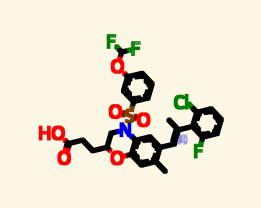 C/C(=C\c1cc2c(cc1C)OC(CCC(=O)O)CN2S(=O)(=O)c1cccc(OC(F)F)c1)c1c(F)cccc1Cl